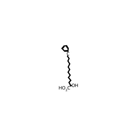 O=C(O)C(O)CCCCCCCCCCCCc1ccccc1